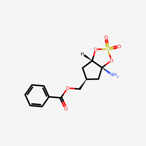 N[C@@]12C[C@@H](COC(=O)c3ccccc3)C[C@@H]1OS(=O)(=O)O2